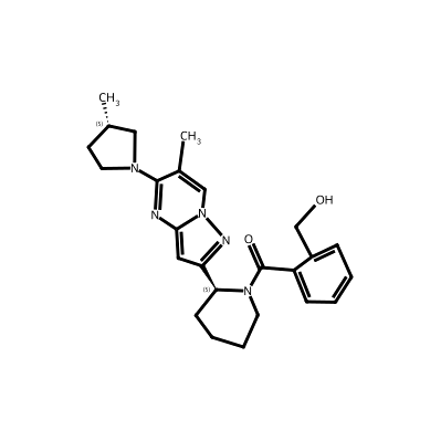 Cc1cn2nc([C@@H]3CCCCN3C(=O)c3ccccc3CO)cc2nc1N1CC[C@H](C)C1